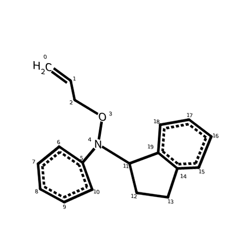 C=CCON(c1ccccc1)C1CCc2ccccc21